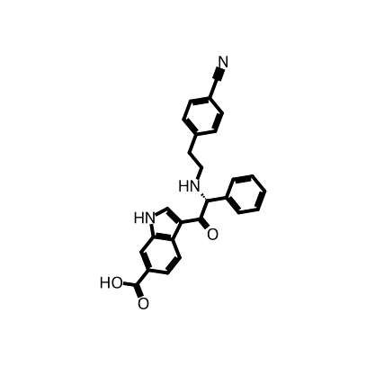 N#Cc1ccc(CCN[C@@H](C(=O)c2c[nH]c3cc(C(=O)O)ccc23)c2ccccc2)cc1